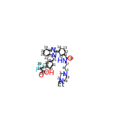 CCN1CCN(CCCNC(=O)c2cccc(-c3nc4ccccc4n3Cc3ccccc3)c2)CC1.O=C(O)C(F)(F)F